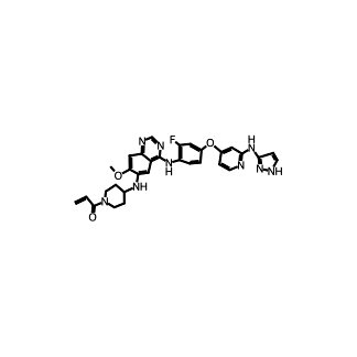 C=CC(=O)N1CCC(Nc2cc3c(Nc4ccc(Oc5ccnc(Nc6cc[nH]n6)c5)cc4F)ncnc3cc2OC)CC1